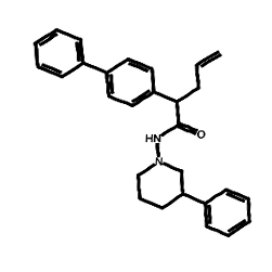 C=CCC(C(=O)NN1CCCC(c2ccccc2)C1)c1ccc(-c2ccccc2)cc1